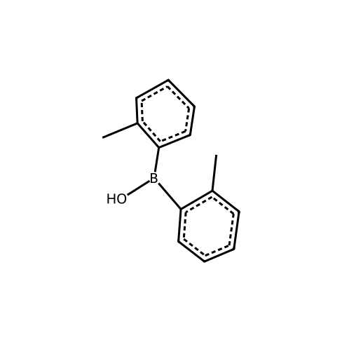 Cc1ccccc1B(O)c1ccccc1C